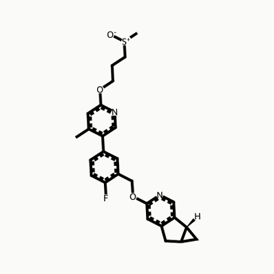 Cc1cc(OCCC[S+](C)[O-])ncc1-c1ccc(F)c(COc2cc3c(cn2)[C@@H]2CC2C3)c1